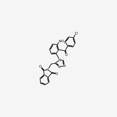 O=C(c1ccc(Cl)cc1)c1c(-n2cnnc2CN2C(=O)c3ccccc3C2=O)cccc1[N+](=O)[O-]